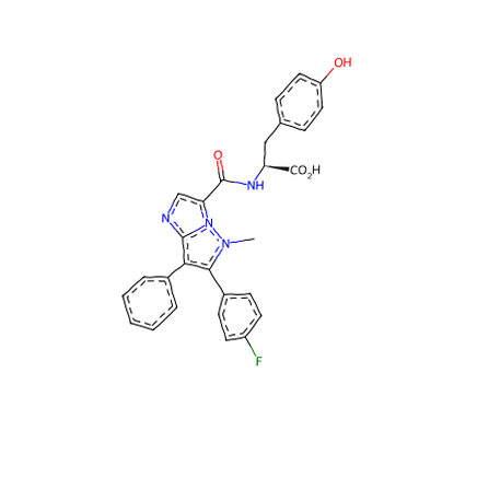 Cn1c(-c2ccc(F)cc2)c(-c2ccccc2)c2ncc(C(=O)N[C@@H](Cc3ccc(O)cc3)C(=O)O)n21